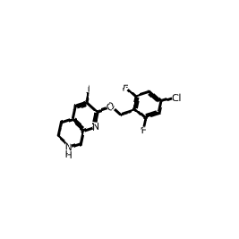 Fc1cc(Cl)cc(F)c1COc1nc2c(cc1I)CCNC2